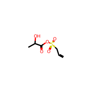 C=CCS(=O)(=O)OC(=O)C(C)O